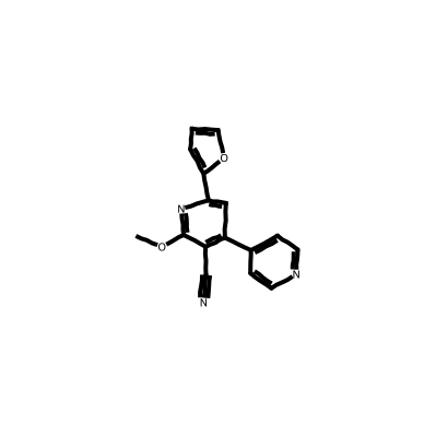 COc1nc(-c2ccco2)cc(-c2ccncc2)c1C#N